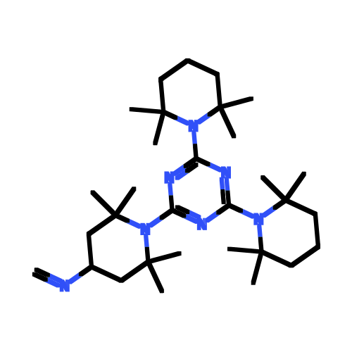 C=NC1CC(C)(C)N(c2nc(N3C(C)(C)CCCC3(C)C)nc(N3C(C)(C)CCCC3(C)C)n2)C(C)(C)C1